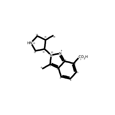 Cc1c2cccc(C(=O)O)c2nn1C1CNCC1C